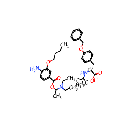 CC(C)N[C@H](Cc1ccc(OCc2ccccc2)cc1)C(=O)O.CCCCOc1cc(C(=O)OC(C)N(CC)CC)ccc1N